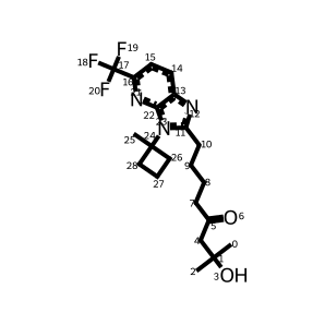 CC(C)(O)CC(=O)CCCCc1nc2ccc(C(F)(F)F)nc2n1C1(C)CCC1